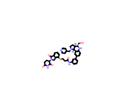 O=C1CCC(N2Cc3c(SCCC(=O)Nc4cccc(-c5ccc6c(c5)[C@H]5[C@H](CCN5Cc5ccncc5)[C@@H](CO)N6)c4)cccc3C2=O)C(=O)N1